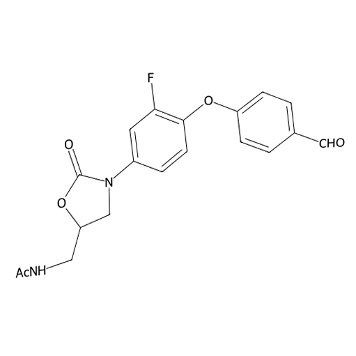 CC(=O)NCC1CN(c2ccc(Oc3ccc(C=O)cc3)c(F)c2)C(=O)O1